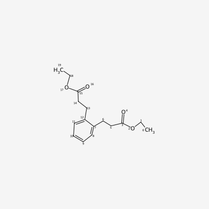 CCOC(=O)CCc1ccccc1CCC(=O)OCC